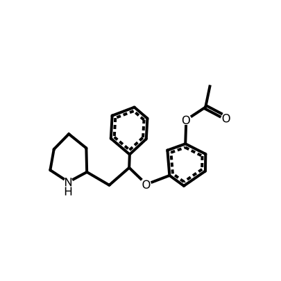 CC(=O)Oc1cccc(OC(CC2CCCCN2)c2ccccc2)c1